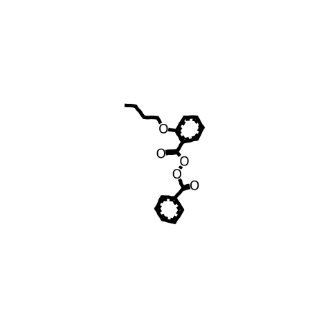 CCCCOc1ccccc1C(=O)OOC(=O)c1ccccc1